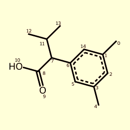 Cc1cc(C)cc(C(C(=O)O)C(C)C)c1